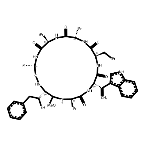 C=C(c1c[nH]c2ccccc12)[C@@H]1NC(=O)[C@@H](C(C)C)NC(OC)[C@H](C(S)Cc2ccccc2)NC[C@H](C(C)C)NC(=O)[C@@H](C(C)C)NC(=O)[C@H](C(C)C)NC(=O)[C@@H](CC(C)C)NC1=O